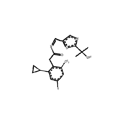 CC(C)(O)c1ncc(/C=N\C(=O)Cc2c(C3CC3)cc(F)cc2C(F)(F)F)s1